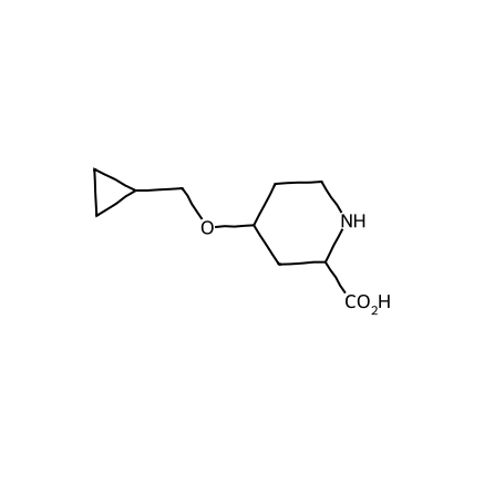 O=C(O)C1CC(OCC2CC2)CCN1